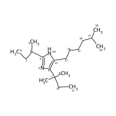 CCC(C)c1nc(C(C)(C)CC)c(CCCCC(C)C)[nH]1